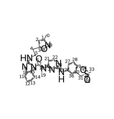 Cc1cc(CC(=O)Nc2nc3ccccc3n2CN(C)c2ccnc(Nc3cccc(CS(C)(=O)=O)c3)n2)on1